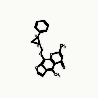 Cc1cc(=O)c2c(C)c3ccoc3c(OC[C@H]3C[C@H]3c3ccccc3)c2o1